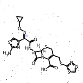 Nc1nc(/C(=N\OC2CC2)C(=O)N[C@@H]2C(=O)N3C(C(=O)O)=C(CSc4nncs4)CS[C@H]23)cs1